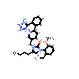 CCCCc1cn(-c2c(CC)cccc2OC)c(=O)n1Cc1ccc(-c2ccccc2-c2nnn[nH]2)nc1